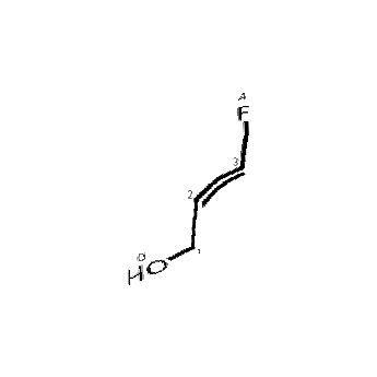 OCC=CF